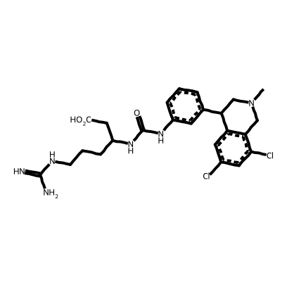 CN1Cc2c(Cl)cc(Cl)cc2C(c2cccc(NC(=O)NC(CCCNC(=N)N)CC(=O)O)c2)C1